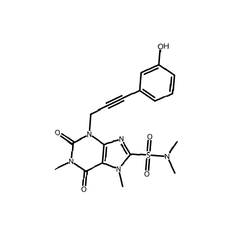 CN(C)S(=O)(=O)c1nc2c(c(=O)n(C)c(=O)n2CC#Cc2cccc(O)c2)n1C